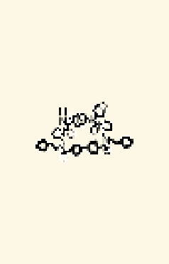 N[C@H](C(=O)N1CCC[C@H]1CN(CCc1ccccc1)C(=O)c1ccc(-c2ccc(C(=O)N(CCc3ccccc3)C[C@@H]3CCCN3C(=O)[C@@H](N)C3CCOCC3)cc2)cc1)C1CCOCC1